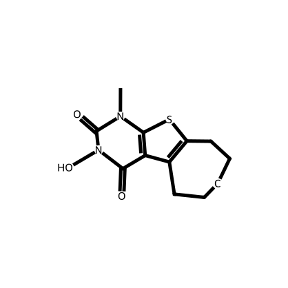 Cn1c(=O)n(O)c(=O)c2c3c(sc21)CCCCC3